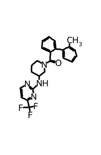 Cc1ccccc1-c1ccccc1C(=O)N1CCCC(Nc2nccc(C(F)(F)F)n2)C1